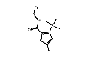 CCONC(=O)c1sc(Cl)cc1[Si](C)(C)C